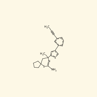 CC#Cc1cccc(-c2csc(C3(C)CC4(CCCC4)SC(N)=N3)c2)c1